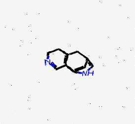 C1=NCCC2=C1c1cc(c[nH]1)C2